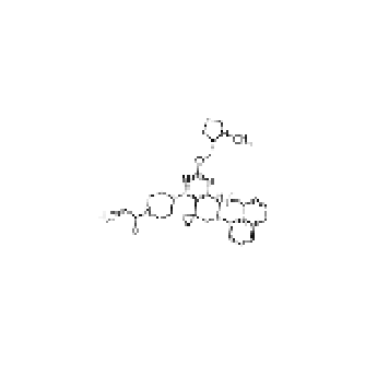 C=CC(=O)N1CCN(c2nc(OC[C@@H]3CCCN3C)nc3c2C2(CC2)CN(c2cccc4cccc(C)c24)C3)CC1